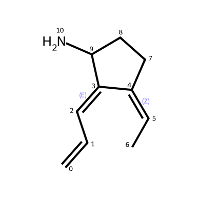 C=C/C=C1\C(=C/C)CCC1N